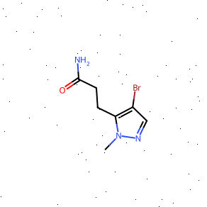 Cn1ncc(Br)c1CCC(N)=O